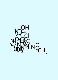 C=CC(=O)N1CCN(c2nc(=O)n(-c3c(C)ccnc3C(C)C)c3c4c(c(Cl)cc23)-c2c(ncc(O)c2F)CO4)[C@@H](C)C1